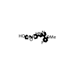 COc1ccc(F)cc1-c1ccnc2[nH]c(C3=CCN(C(=O)CN4CCC(O)C4)CC3)cc12